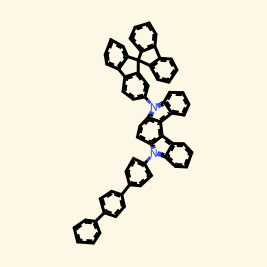 c1ccc(-c2ccc(-c3ccc(-n4c5ccccc5c5c6c7ccccc7n(-c7ccc8c(c7)C7(c9ccccc9-c9ccccc97)c7ccccc7-8)c6ccc54)cc3)cc2)cc1